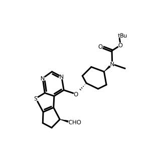 CN(C(=O)OC(C)(C)C)[C@H]1CC[C@H](Oc2ncnc3sc4c(c23)[C@@H](C=O)CC4)CC1